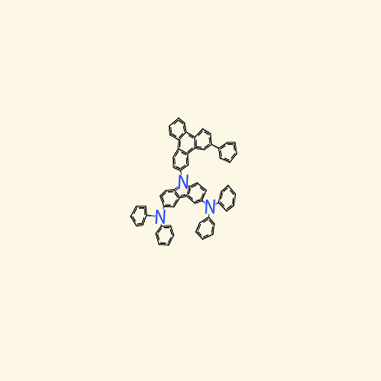 c1ccc(-c2ccc3c4ccccc4c4ccc(-n5c6ccc(N(c7ccccc7)c7ccccc7)cc6c6cc(N(c7ccccc7)c7ccccc7)ccc65)cc4c3c2)cc1